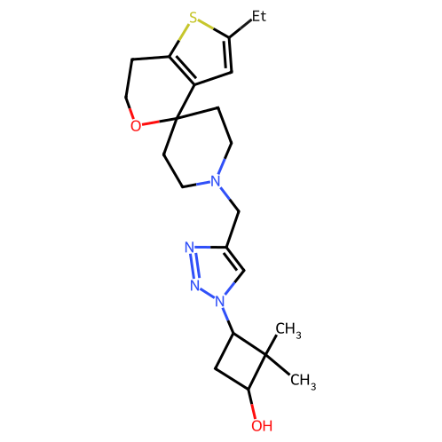 CCc1cc2c(s1)CCOC21CCN(Cc2cn(C3CC(O)C3(C)C)nn2)CC1